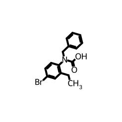 CCc1cc(Br)ccc1N(Cc1ccccc1)C(=O)O